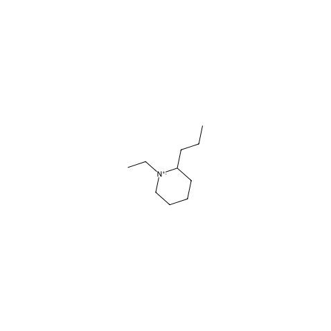 CCCC1CCCC[N+]1CC